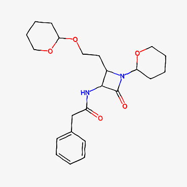 O=C(Cc1ccccc1)NC1C(=O)N(C2CCCCO2)C1CCOC1CCCCO1